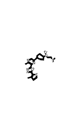 Cc1ccsc1-c1nnc(-c2nc(C3C=CC([S+]([O-])CCN(C)C)=CC3)cnc2C)o1